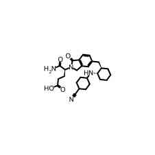 N#CC1CCC(N[C@H]2CCCC[C@@H]2Cc2ccc3c(c2)CN([C@@H](CCC(=O)O)C(N)=O)C3=O)CC1